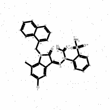 Cc1cc(Cl)cc2c1N(Cc1cccc3ccccc13)C(=O)/C2=N\N(C(N)=S)c1ccccc1S(N)(=O)=O